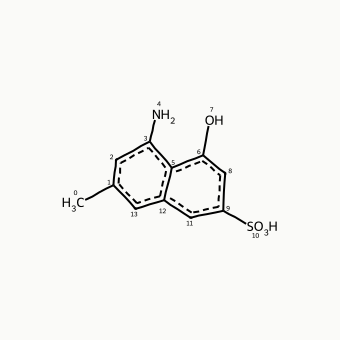 Cc1cc(N)c2c(O)cc(S(=O)(=O)O)cc2c1